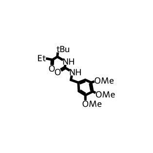 CCC(=O)C(NC(=O)NCc1cc(OC)c(OC)c(OC)c1)C(C)(C)C